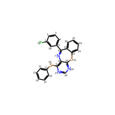 Fc1cccc(C2=Nc3c(Sc4ccccc4)ncnc3Sc3ccccc32)c1